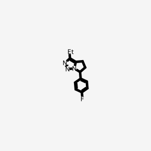 [CH2]Cc1nnn2c1CCC2c1ccc(F)cc1